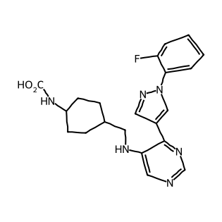 O=C(O)NC1CCC(CNc2cncnc2-c2cnn(-c3ccccc3F)c2)CC1